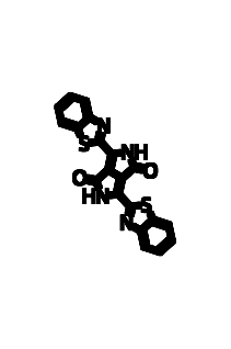 O=C1NC(c2nc3ccccc3s2)=C2C(=O)NC(c3nc4ccccc4s3)=C12